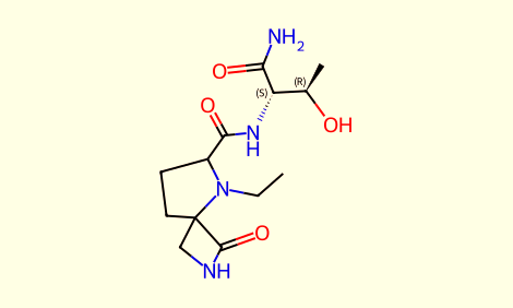 CCN1C(C(=O)N[C@H](C(N)=O)[C@@H](C)O)CCC12CNC2=O